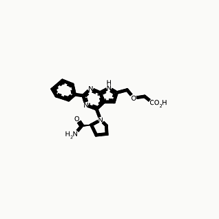 NC(=O)[C@@H]1CCCN1c1nc(-c2ccccc2)nc2[nH]c(COCC(=O)O)cc12